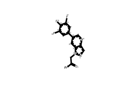 CC(C)C(=O)Cn1ncc2ncc(-c3cc(F)c(F)c(F)c3)cc21